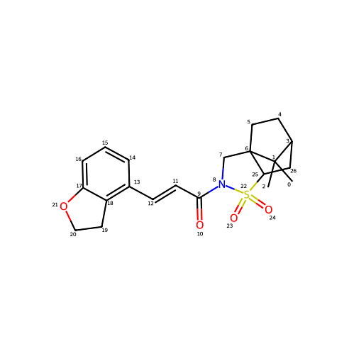 CC1(C)C2CCC13CN(C(=O)C=Cc1cccc4c1CCO4)S(=O)(=O)C3C2